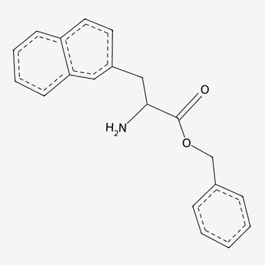 NC(Cc1ccc2ccccc2c1)C(=O)OCc1ccccc1